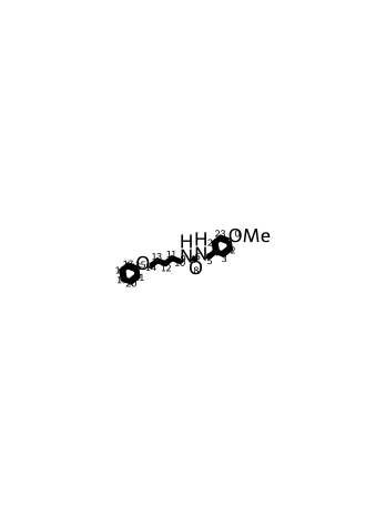 COc1ccc(CNC(=O)NCCCCCOc2ccccc2)cc1